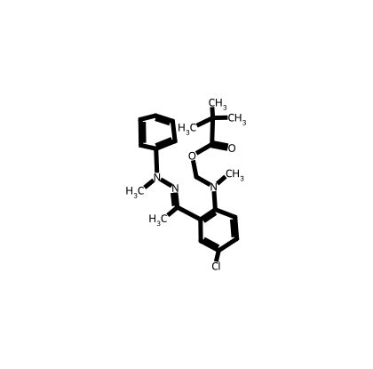 C/C(=N\N(C)c1ccccc1)c1cc(Cl)ccc1N(C)COC(=O)C(C)(C)C